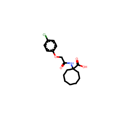 O=C(COc1ccc(Cl)cc1)NC1(C(=O)O)CCCCCCC1